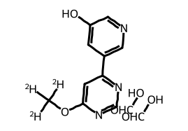 O=CO.O=CO.[2H]C([2H])([2H])Oc1cc(-c2cncc(O)c2)ncn1